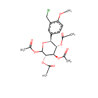 COc1ccc([C@@H]2OC(OC(C)=O)[C@@H](OC(C)=O)[C@H](OC(C)=O)[C@H]2OC(C)=O)cc1CBr